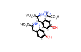 NC(Cc1ccc(O)cc1)C(=O)O.NC(Cc1ccc(O)cc1)C(=O)O.NCC(=O)O